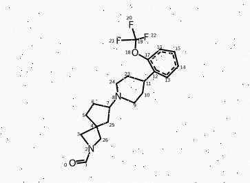 O=CN1CC2(CCC(N3CCC(c4ccccc4OC(F)(F)F)CC3)C2)C1